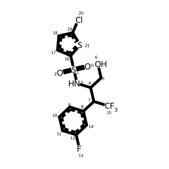 O=S(=O)(NC(CO)C(c1cccc(F)c1)C(F)(F)F)c1ccc(Cl)s1